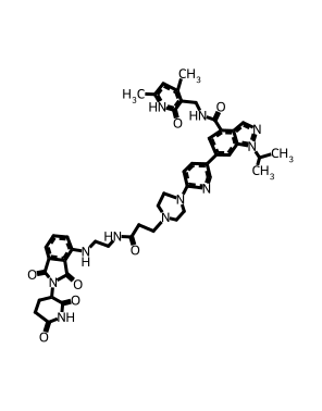 Cc1cc(C)c(CNC(=O)c2cc(-c3ccc(N4CCN(CCC(=O)NCCNc5cccc6c5C(=O)N(C5CCC(=O)NC5=O)C6=O)CC4)nc3)cc3c2cnn3C(C)C)c(=O)[nH]1